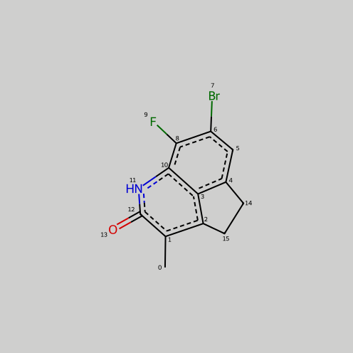 Cc1c2c3c(cc(Br)c(F)c3[nH]c1=O)CC2